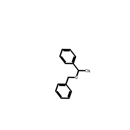 N#CC(OCc1ccccc1)c1ccccc1